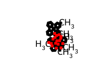 Cc1ccc(C2(c3ccc(C)cc3)c3ccccc3-c3cccc(-c4ccc5c(c4-c4cccc6c4C(c4ccc(C)cc4)(c4ccc(C)cc4)c4ccccc4-6)C(c4ccc(C)cc4)(c4ccc(C)cc4)c4ccccc4-5)c32)cc1